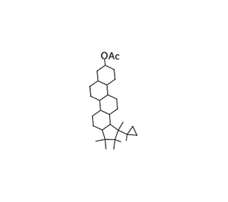 CC(=O)OC1CCC2C(CCC3C2CCC2C3CCC3C2C(C)(C2(C)CC2)C(C)(C)C3(C)C)C1